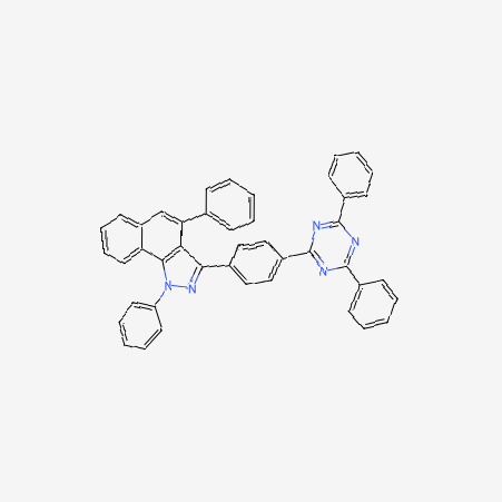 c1ccc(-c2nc(-c3ccccc3)nc(-c3ccc(-c4nn(-c5ccccc5)c5c4c(-c4ccccc4)cc4ccccc45)cc3)n2)cc1